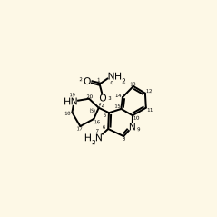 NC(=O)O[C@]1(c2c(N)cnc3ccccc23)CCCNC1